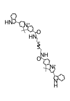 CC1(C)c2cc(C(=O)NCCSSCCNC(=O)c3ccc4c(c3)C(C)(C)c3cc(-c5c[nH]c6ccccc56)cc[n+]3-4)ccc2-[n+]2ccc(-c3c[nH]c4ccccc34)cc21